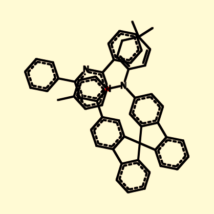 Cc1ccc(N(C2=CCC(C)(C)C=C2)c2ccc3c(c2)C2(c4ccccc4-c4ccc(-c5nc(-c6ccccc6)nc(-c6ccccc6)n5)cc42)c2ccccc2-3)cc1